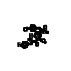 CNC(=O)C(Cc1ccc(Cl)cc1)N1CCN(C(=O)C(Cc2ccc(F)cc2)NC)C(COC)C1